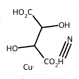 C#N.O=C(O)C(O)C(O)C(=O)O.[Cu]